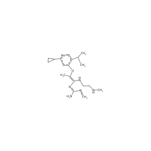 C=N/C(N)=N\C(NCCNC)=C(/C)Oc1cc(C2CC2)ncc1C(C)C